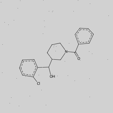 O=C(c1ccccc1)N1CCCC(C(O)c2ccccc2Cl)C1